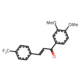 COc1ccc(C(=O)/C=C/c2ccc(C(F)(F)F)cc2)cc1OC